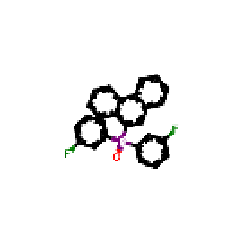 O=P(c1cccc(F)c1)(c1cccc(F)c1)c1cc2ccccc2c2ccccc12